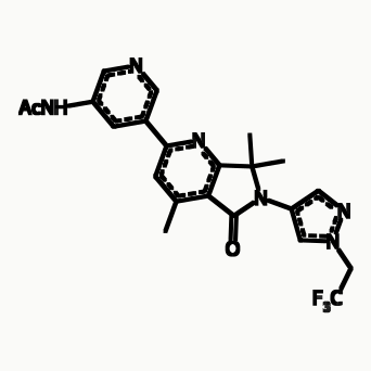 CC(=O)Nc1cncc(-c2cc(C)c3c(n2)C(C)(C)N(c2cnn(CC(F)(F)F)c2)C3=O)c1